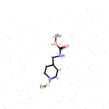 CCSN1CCC(CNC(=O)OC(C)(C)C)CC1